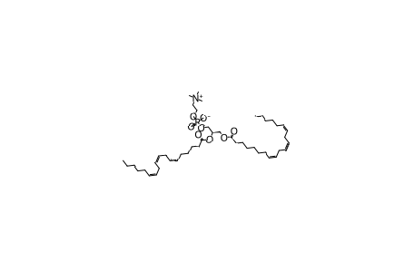 CCCCC/C=C\C/C=C\C/C=C\CCCCCCC(=O)OC[C@H](COP(=O)([O-])OCC[N+](C)(C)C)OC(=O)CCCC/C=C\C/C=C\C/C=C\CCCCC